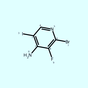 Nc1c(I)cnc(Br)c1F